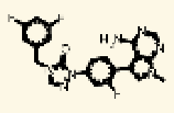 Cn1cc(-c2ccc(-n3ncn(Cc4cc(F)cc(F)c4)c3=O)cc2F)c2c(N)ncnc21